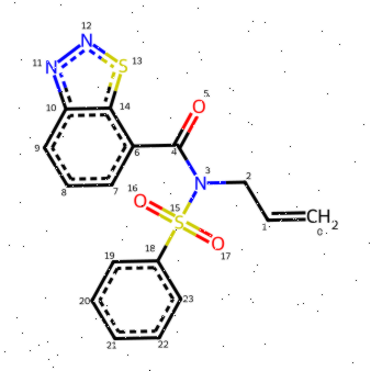 C=CCN(C(=O)c1cccc2nnsc12)S(=O)(=O)c1ccccc1